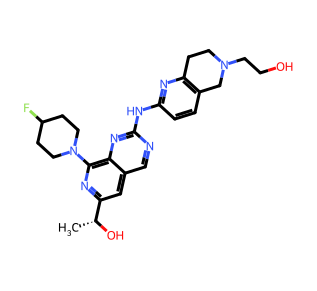 C[C@@H](O)c1cc2cnc(Nc3ccc4c(n3)CCN(CCO)C4)nc2c(N2CCC(F)CC2)n1